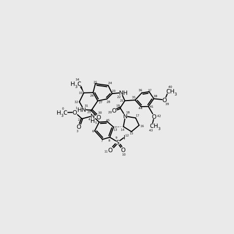 COC(=O)Nc1ccc(S(=O)(=O)I)c([C@H]2CCCN2C(=O)C(Nc2ccc3c(c2)C(=O)NC[C@H]3C)c2ccc(OC)c(OC)c2)c1